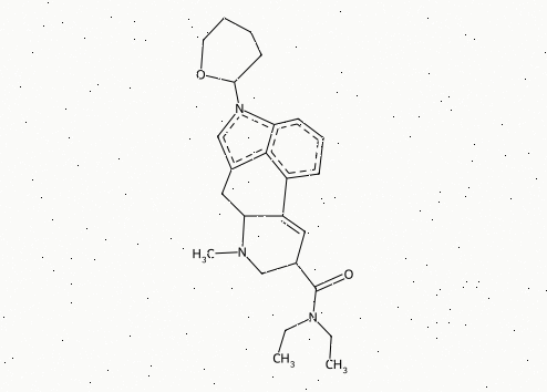 CCN(CC)C(=O)C1C=C2c3cccc4c3c(cn4C3CCCCO3)CC2N(C)C1